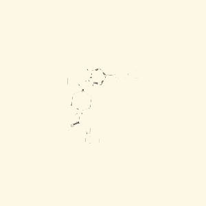 CCOC(=O)c1cnn(C2(C)CCN(C(=O)OC(C)(C)C)CC2)c1